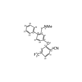 CNCc1cc(Oc2cc(C(F)(F)F)ccc2C#N)ccc1-c1ccccc1